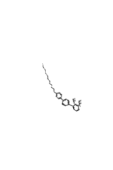 CCCCCCCCCCCCc1ccc(-c2ccc(-c3cccc(F)c3F)cc2)cc1